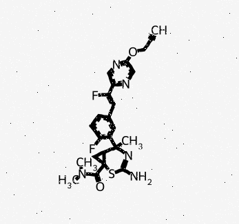 C#CCOc1cnc(/C(F)=C/c2ccc(F)c(C3(C)N=C(N)SC4(C(=O)N(C)C)CC43)c2)cn1